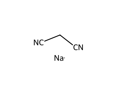 N#CCC#N.[Na]